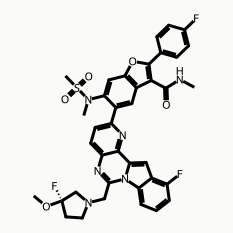 CNC(=O)c1c(-c2ccc(F)cc2)oc2cc(N(C)S(C)(=O)=O)c(-c3ccc4nc(CN5CC[C@@](F)(OC)C5)n5c6cccc(F)c6cc5c4n3)cc12